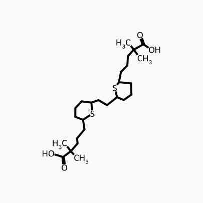 CC(C)(CCCC1CCCC(CCC2CCCC(CCCC(C)(C)C(=O)O)S2)S1)C(=O)O